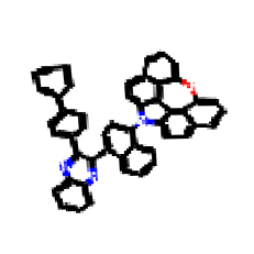 c1ccc(-c2ccc(-c3nc4ccccc4nc3-c3ccc(-n4c5ccc6cccc7oc8cccc9ccc4c(c98)c5c67)c4ccccc34)cc2)cc1